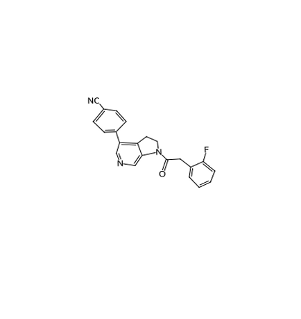 N#Cc1ccc(-c2cncc3c2CCN3C(=O)Cc2ccccc2F)cc1